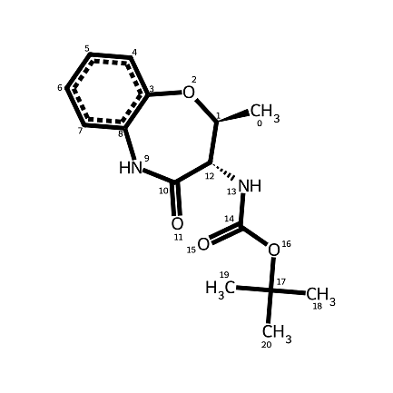 C[C@@H]1Oc2ccccc2NC(=O)[C@H]1NC(=O)OC(C)(C)C